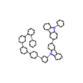 c1ccc(-c2ccccc2-c2cccc(-c3cccc(-c4ccc(-c5cccc(-n6c7ccccc7c7cc(-c8ccc9c(c8)c8ccccc8n9-c8ccccc8)ccc76)c5)cc4)c3)c2)cc1